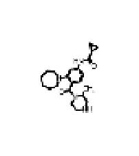 CC1CNCCN1C(=O)c1ccc(NC(=O)C2CC2)cc1N1CCCCCC1